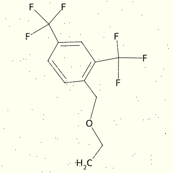 [CH2]COCc1ccc(C(F)(F)F)cc1C(F)(F)F